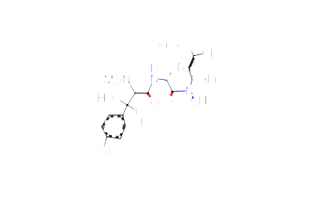 CCOC(=O)/C(C)=C/[C@H](C(C)C)N(C)C(=O)[C@@H](NC(=O)C(NC)C(C)(C)c1ccc(O)cc1)C(C)(C)C